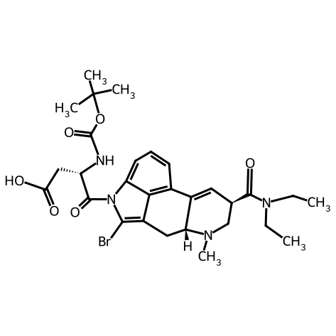 CCN(CC)C(=O)[C@@H]1C=C2c3cccc4c3c(c(Br)n4C(=O)[C@H](CC(=O)O)NC(=O)OC(C)(C)C)C[C@H]2N(C)C1